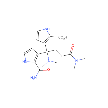 CN(C)C(=O)CCC(c1cc[nH]c1C(N)=O)(c1cc[nH]c1C(=O)O)N(C)C